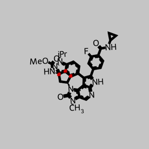 COC(=O)N[C@@H]1CC[C@@H](n2c(=O)n(C)c3cnc4[nH]c(-c5ccc(C(=O)NC6CC6)c(F)c5)c(-c5ccc6c(cnn6C(C)C)c5)c4c32)C1